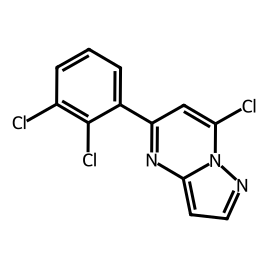 Clc1cccc(-c2cc(Cl)n3nccc3n2)c1Cl